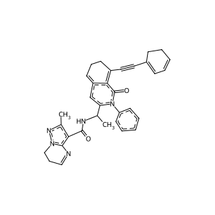 Cc1nn2c(c1C(=O)NC(C)c1cc3c(c(=O)n1-c1ccccc1)=C(C#CC1=CC=CCC1)CCC=3)N=CCC2